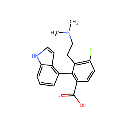 CN(C)CCc1c(F)ccc(C(=O)O)c1-c1cccc2[nH]ccc12